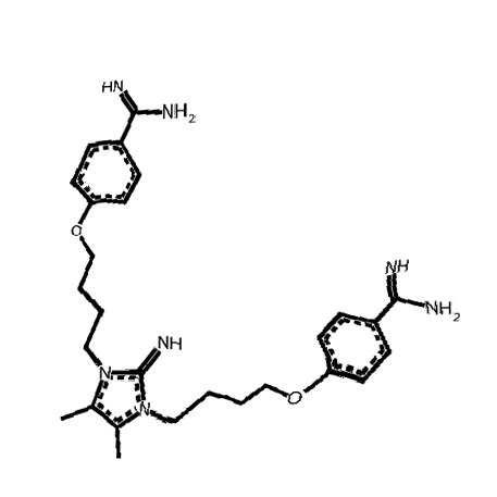 Cc1c(C)n(CCCCOc2ccc(C(=N)N)cc2)c(=N)n1CCCCOc1ccc(C(=N)N)cc1